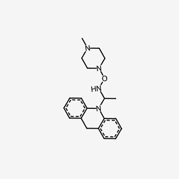 CC(NON1CCN(C)CC1)N1c2ccccc2Cc2ccccc21